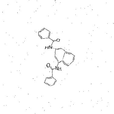 O=C(Nc1cc(NC(=O)c2ccccc2)c2ccccc2c1)c1ccccc1